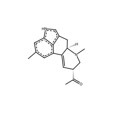 CC(=O)[C@@H]1C=C2c3cc(C)cc4[nH]cc(c34)C[C@H]2N(C)C1